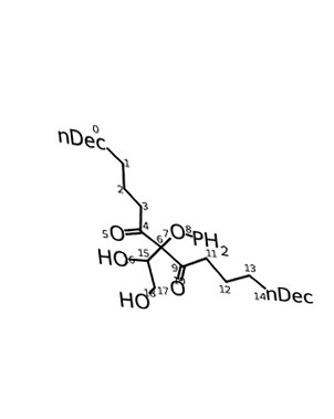 CCCCCCCCCCCCCC(=O)C(OP)(C(=O)CCCCCCCCCCCCC)C(O)CO